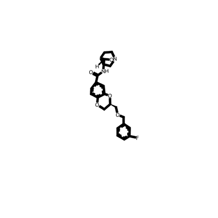 O=C(N[C@H]1CN2CCC1CC2)c1ccc2c(c1)O[C@@H](COCc1cccc(F)c1)CO2